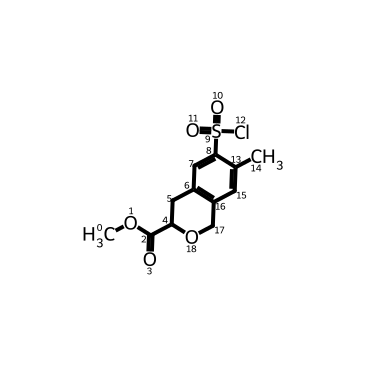 COC(=O)C1Cc2cc(S(=O)(=O)Cl)c(C)cc2CO1